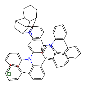 Clc1cccc(N(c2cc(N(c3ccccc3)c3c(-c4ccccc4)cccc3-c3ccccc3)cc(N3C4CC5CC3C3CCCC5C3C4)c2)c2c(-c3ccccc3)cccc2-c2ccccc2)c1